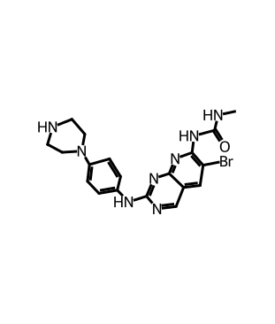 CNC(=O)Nc1nc2nc(Nc3ccc(N4CCNCC4)cc3)ncc2cc1Br